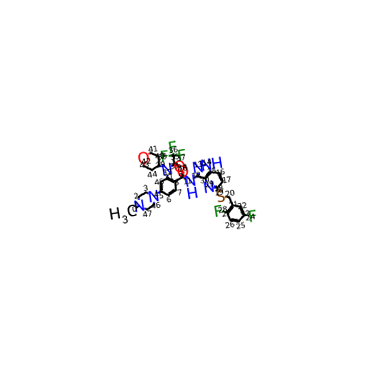 CN1CCN(c2ccc(C(=O)Nc3n[nH]c4ccc(SCc5cc(F)ccc5F)nc34)c(N(C(=O)C(F)(F)F)C3CCOCC3)c2)CC1